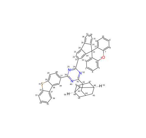 c1ccc2c(c1)Oc1ccccc1C21c2ccccc2-c2ccc(-c3nc(-c4ccc5sc6ccccc6c5c4)nc(C45CC6C[C@H](C4)C[C@@H](C6)C5)n3)cc21